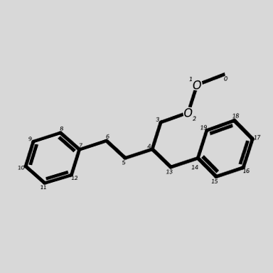 COOCC(CCc1ccccc1)Cc1ccccc1